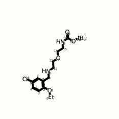 CCOc1ccc(Cl)cc1CNCCOCCNC(=O)OC(C)(C)C